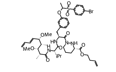 C=C/C=C/[C@H](OC)[C@H](C)[C@@H](OC)[C@@H](C)C(=O)N[C@H](C(=O)N[C@@H](Cc1cccc(OC(C)S(=O)(=O)c2ccc(Br)cc2)c1)C(=O)N1CCC[C@@H](C(=O)OCCC=C)N1)C(C)C